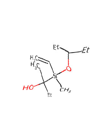 C=C[Si](C)(OC(CC)CC)C(C)(O)CC